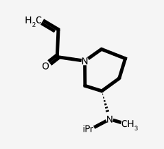 C=CC(=O)N1CCC[C@H](N(C)C(C)C)C1